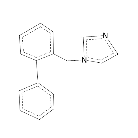 [c]1nccn1Cc1ccccc1-c1ccccc1